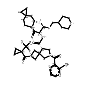 C[C@@H](OCC1CCOCC1)[C@H](NC(=O)[C@@H]1CN(C(=O)c2nccnc2O)CC12CN(C(=O)C1(C(F)(F)F)CC1)C2)C(=O)N1CCC2(CC1)CC2